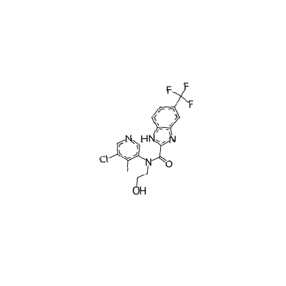 Cc1c(Cl)cncc1N(CCO)C(=O)c1nc2cc(C(F)(F)F)ccc2[nH]1